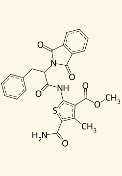 COC(=O)c1c(NC(=O)C(Cc2ccccc2)N2C(=O)c3ccccc3C2=O)sc(C(N)=O)c1C